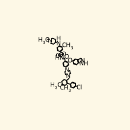 Cc1cc(S(=O)(=O)NC(=O)c2ccc(N3CCN(CC4=C(c5ccc(Cl)cc5)CC(C)(C)CC4)CC3)cc2Oc2ccc3[nH]ncc3c2)ccc1NC1CCN(C)CC1